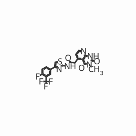 Cn1c(=O)[nH]c2nccc(CC(=O)Nc3nc(-c4ccc(F)c(C(F)(F)F)c4)cs3)c2c1=O